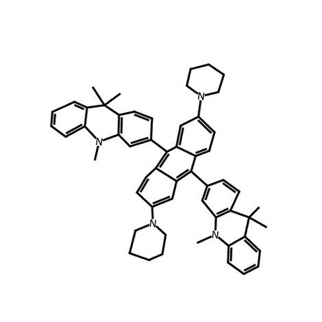 CN1c2ccccc2C(C)(C)c2ccc(-c3c4ccc(N5CCCCC5)cc4c(-c4ccc5c(c4)N(C)c4ccccc4C5(C)C)c4ccc(N5CCCCC5)cc34)cc21